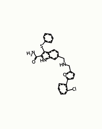 NC(=O)c1[nH]c2cc(CNCc3ccc(-c4ccccc4Cl)o3)ccc2c1Sc1ccccc1